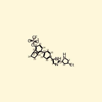 CC[C@@H]1CN[C@H](c2ncc(-c3ccc(-c4ccc(OS(=O)(=O)C(F)(F)F)c5c4C4CCC5C4)cc3)[nH]2)C1